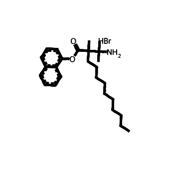 Br.CCCCCCCCCCC(C)(C(=O)Oc1cccc2ccccc12)C(C)(C)N